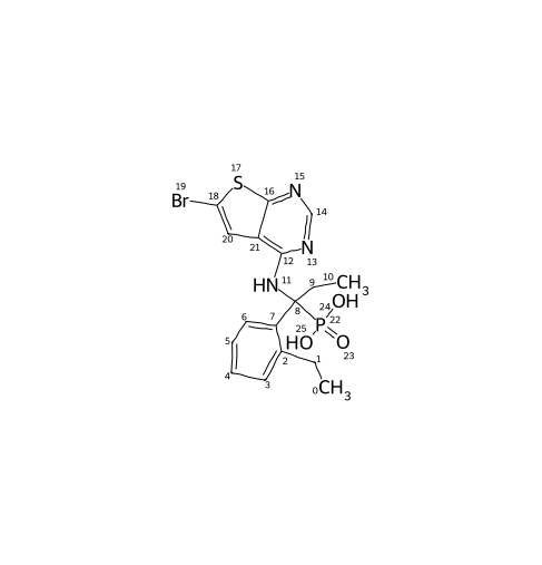 CCc1ccccc1C(CC)(Nc1ncnc2sc(Br)cc12)P(=O)(O)O